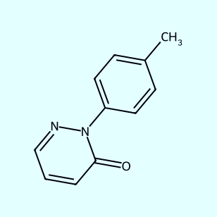 Cc1ccc(-n2ncccc2=O)cc1